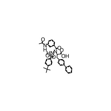 CC(=O)Nc1cccc(C(=O)N(NS(=O)(=O)c2ccc(C(C)(C)C)cc2)C(Cc2ccc(-c3ccccc3)cc2)C(=O)O)c1